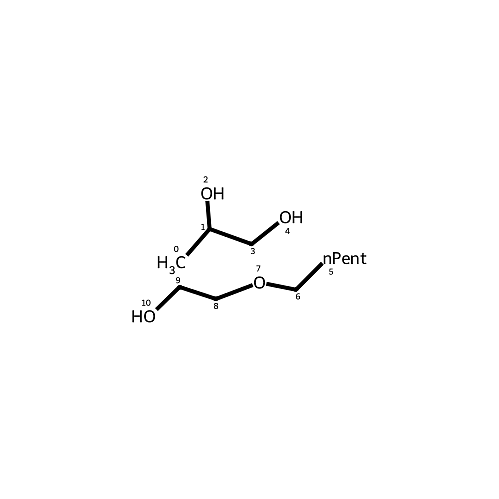 CC(O)CO.CCCCCCOCCO